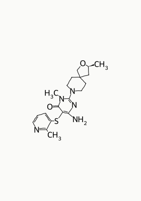 Cc1ncccc1Sc1c(N)nc(N2CCC3(CC2)CO[C@@H](C)C3)n(C)c1=O